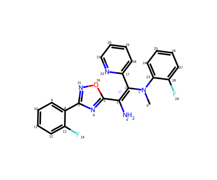 CN(/C(=C(\N)c1nc(-c2ccccc2F)no1)c1ccccn1)c1ccccc1F